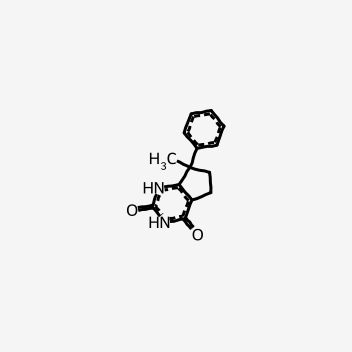 CC1(c2ccccc2)CCc2c1[nH]c(=O)[nH]c2=O